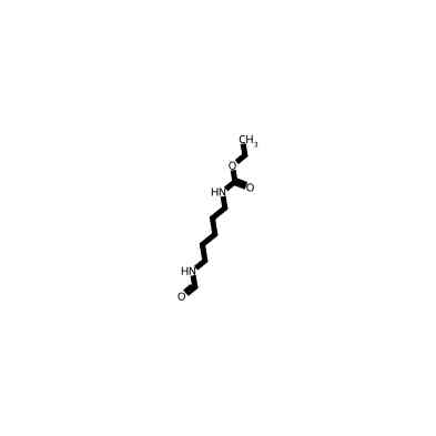 CCOC(=O)NCCCCCN[C]=O